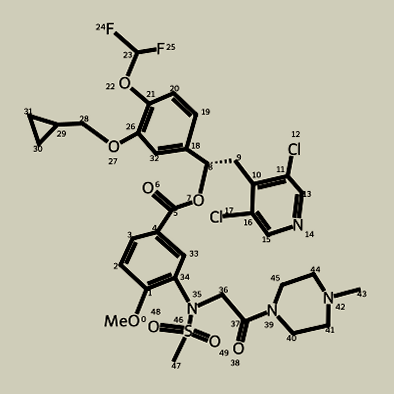 COc1ccc(C(=O)O[C@@H](Cc2c(Cl)cncc2Cl)c2ccc(OC(F)F)c(OCC3CC3)c2)cc1N(CC(=O)N1CCN(C)CC1)S(C)(=O)=O